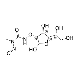 CN(N=O)C(=O)NO[C@H]1C(O)O[C@H]([C@H](O)CO)[C@@H]1O